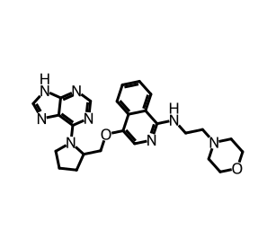 c1ccc2c(NCCN3CCOCC3)ncc(OCC3CCCN3c3ncnc4[nH]cnc34)c2c1